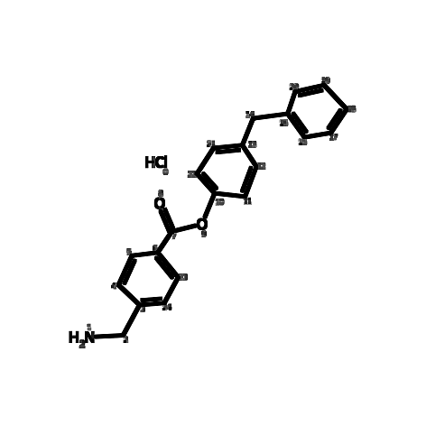 Cl.NCc1ccc(C(=O)Oc2ccc(Cc3ccccc3)cc2)cc1